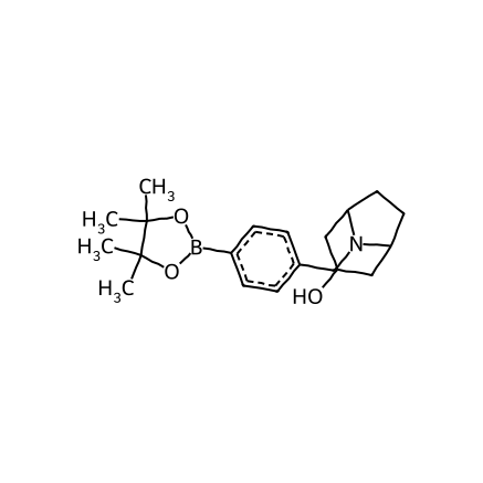 CC1(C)OB(c2ccc(CN3C4CCC3CC(O)C4)cc2)OC1(C)C